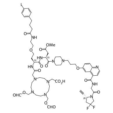 C#C[C@H]1CC(F)(F)CN1C(=O)CNC(=O)c1ccnc2ccc(OCCCN3CCN(C(=O)[C@H](CC(=O)OC)NC(=O)[C@H](CCOCCNC(=O)CCCc4ccc(I)cc4)NC(=O)CN4CCN(COC=O)CCN(COC=O)CCN(CC(=O)O)CC4)CC3)cc12